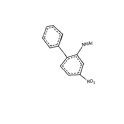 CC(=O)Nc1cc([N+](=O)[O-])ccc1-c1ccccc1